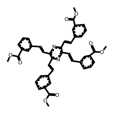 COC(=O)c1cccc(C=Cc2nc(C=Cc3cccc(C(=O)OC)c3)c(C=Cc3cccc(C(=O)OC)c3)nc2C=Cc2cccc(C(=O)OC)c2)c1